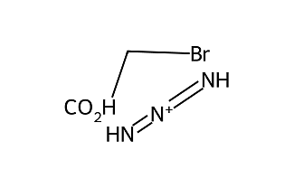 N=[N+]=N.O=C(O)CBr